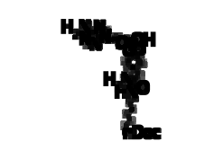 CCCCCCCCCCCCCCCCNC(=O)[C@@H](N)Cc1ccc(OP(=O)(O)COCCn2cnc3c(N)ncnc32)cc1